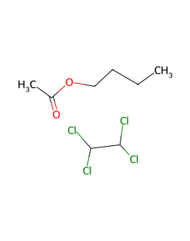 CCCCOC(C)=O.ClC(Cl)C(Cl)Cl